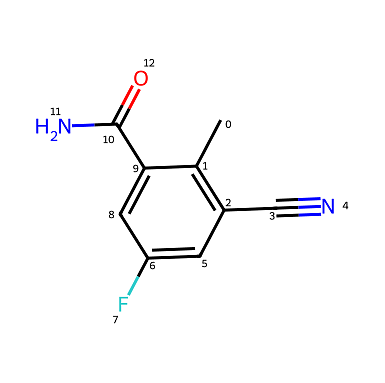 Cc1c(C#N)cc(F)cc1C(N)=O